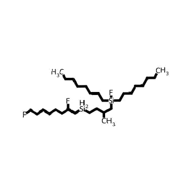 CCCCCCCC[Si](F)(CCCCCCCC)CC(C)CC[SiH2]CC(F)CCCCCCF